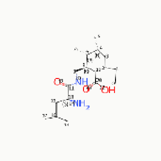 CCCC[C@@H](C)[C@@H](C)[C@H](CNC(=O)[C@@H](N)CC(C)C)CC(=O)O